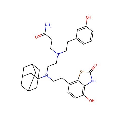 NC(=O)CCN(CCc1cccc(O)c1)CCN(CCc1ccc(O)c2[nH]c(=O)sc12)C12CC3CC(CC(C3)C1)C2